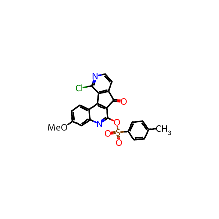 COc1ccc2c3c(c(OS(=O)(=O)c4ccc(C)cc4)nc2c1)C(=O)c1ccnc(Cl)c1-3